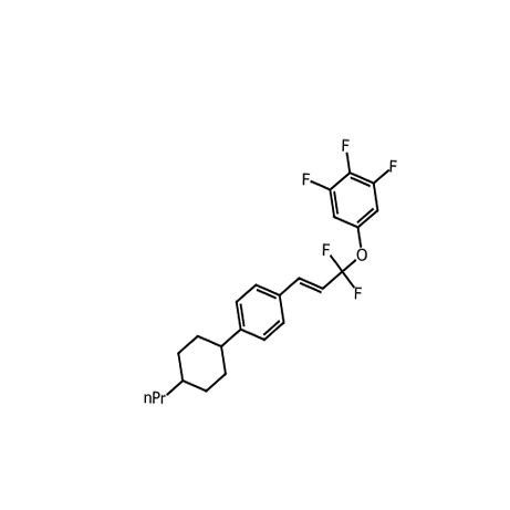 CCCC1CCC(c2ccc(/C=C/C(F)(F)Oc3cc(F)c(F)c(F)c3)cc2)CC1